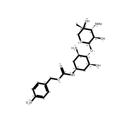 CN[C@@H]1[C@@H](O)[C@@H](O[C@H]2[C@H](N)C[C@H](NC(=O)OCc3ccc([N+](=O)[O-])cc3)C[C@@H]2O)OC[C@]1(C)O